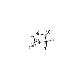 CO[SiH3].FC(F)(F)C(Cl)Br